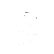 NC1(c2cccc(Cl)c2Cl)CCCCC1=O